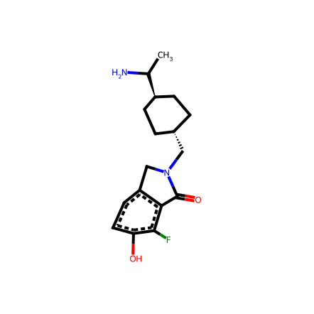 CC(N)[C@H]1CC[C@H](CN2Cc3ccc(O)c(F)c3C2=O)CC1